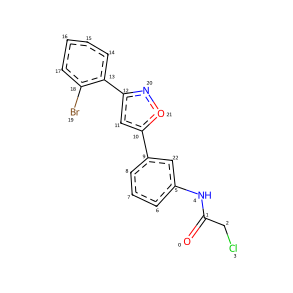 O=C(CCl)Nc1cccc(-c2cc(-c3ccccc3Br)no2)c1